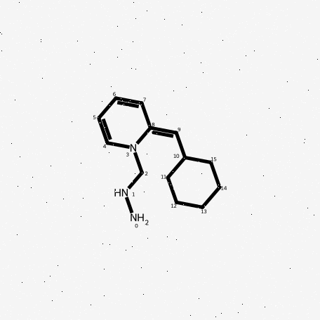 NNCN1C=CC=C/C1=C/C1CCCCC1